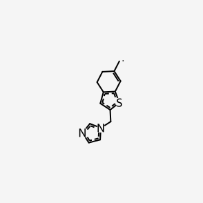 [CH2]C1=Cc2sc(Cn3ccnc3)cc2CC1